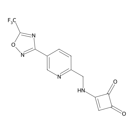 O=c1cc(NCc2ccc(-c3noc(C(F)(F)F)n3)cn2)c1=O